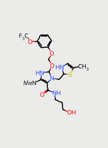 CNC1=C(C(=O)NCCCO)N(CC2NC=C(C)S2)C(OCOc2cccc(OC(F)(F)F)c2)N1